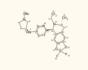 CCCCN1CC[C@H](Nc2ccc([C@@H]3c4cc5c(cc4C[C@@H](C)N3CC(F)(F)F)OC(F)(F)O5)nc2)C1